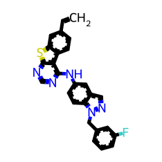 C=Cc1ccc2c(c1)sc1ncnc(Nc3ccc4c(cnn4Cc4cccc(F)c4)c3)c12